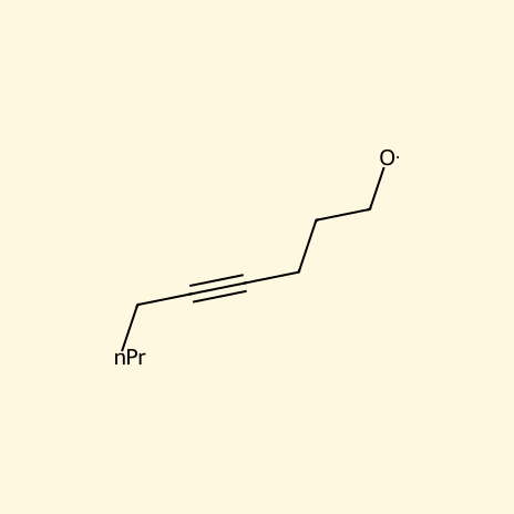 CCCCC#CCCC[O]